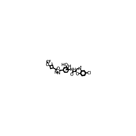 CN1CC(C(=O)NC23CCC(c4nnc(C5CC(OC(F)(F)F)C5)o4)(CC2)C[C@@H]3O)Oc2ccc(Cl)cc21